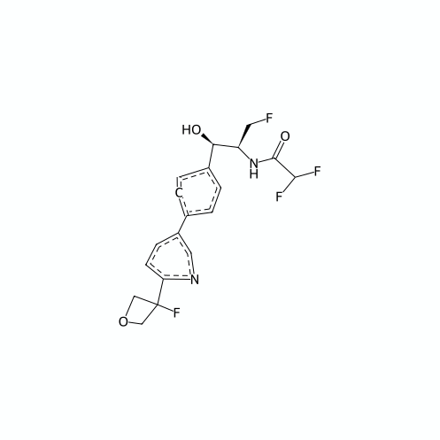 O=C(N[C@H](CF)[C@H](O)c1ccc(-c2ccc(C3(F)COC3)nc2)cc1)C(F)F